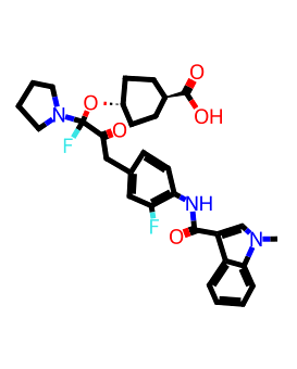 Cn1cc(C(=O)Nc2ccc(CC(=O)C(F)(O[C@H]3CC[C@H](C(=O)O)CC3)N3CCCC3)cc2F)c2ccccc21